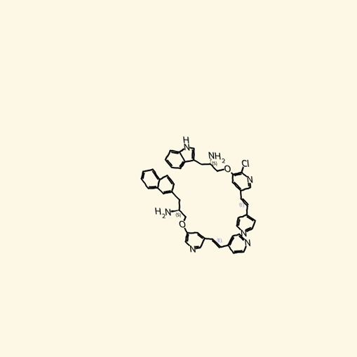 N[C@H](COc1cc(/C=C/c2ccncc2)cnc1Cl)Cc1c[nH]c2ccccc12.N[C@H](COc1cncc(/C=C/c2ccncc2)c1)Cc1ccc2ccccc2c1